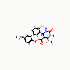 CC1=C(C(=O)OCc2ccc(C)cc2)C(c2ccccc2F)NC(=O)N1